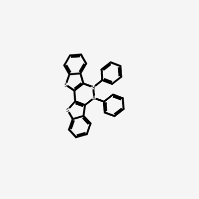 c1ccc(B2c3c(sc4ccccc34)-c3sc4ccccc4c3N2c2ccccc2)cc1